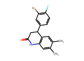 Cc1cc2c(cc1C)C(c1ccc(F)c(Br)c1)CC(=O)N2